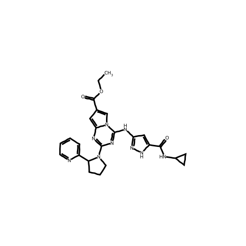 CCOC(=O)c1cc2nc(N3CCCC3c3ccccn3)nc(Nc3cc(C(=O)NC4CC4)[nH]n3)n2c1